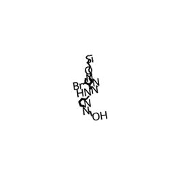 CN(CCO)c1cccc(CNc2ncnc3c2c(Br)cn3COCC[Si](C)(C)C)n1